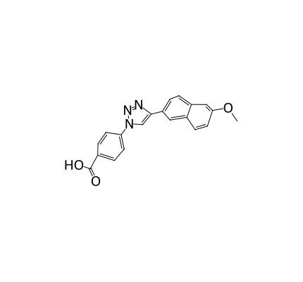 COc1ccc2cc(-c3cn(-c4ccc(C(=O)O)cc4)nn3)ccc2c1